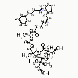 C#CCC(C)(C)C(=O)OCC(C)(COC(=O)OC(C)OC(=O)CCC/C=C\C[C@H]1CCC[C@@H]1/C=C/CCCc1ccccc1)COC(=O)C(C)(C)CC#C